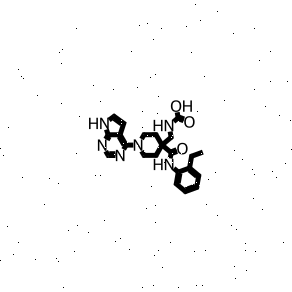 CCc1ccccc1NC(=O)C1(CNC(=O)O)CCN(c2ncnc3[nH]ccc23)CC1